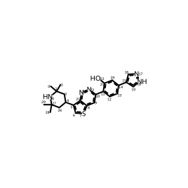 CC1(C)CC(c2csc3cc(-c4ccc(-c5cn[nH]c5)cc4O)nnc23)CC(C)(C)N1